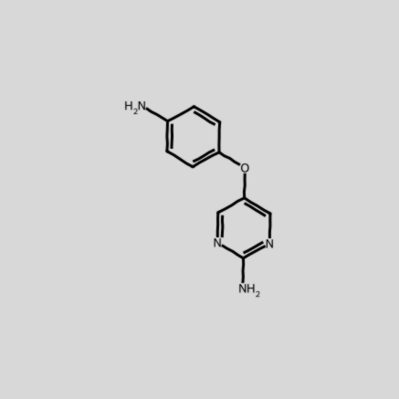 Nc1ccc(Oc2cnc(N)nc2)cc1